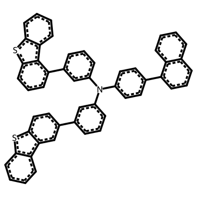 c1cc(-c2ccc3sc4ccccc4c3c2)cc(N(c2ccc(-c3cccc4ccccc34)cc2)c2cccc(-c3cccc4sc5ccccc5c34)c2)c1